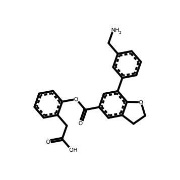 NCc1cccc(-c2cc(C(=O)Oc3ccccc3CC(=O)O)cc3c2OCC3)c1